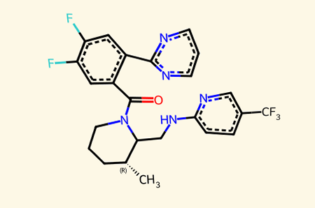 C[C@@H]1CCCN(C(=O)c2cc(F)c(F)cc2-c2ncccn2)C1CNc1ccc(C(F)(F)F)cn1